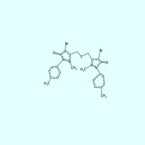 Cc1ccc(-n2c(=O)c(Br)c(CSCc3c(Br)c(=O)n(-c4ccc(C)cc4)n3C)n2C)cc1